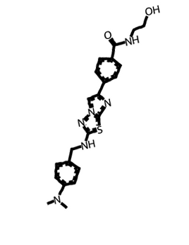 CN(C)c1ccc(CNc2nn3cc(-c4ccc(C(=O)NCCO)cc4)nc3s2)cc1